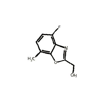 Cc1ccc(F)c2nc(CO)oc12